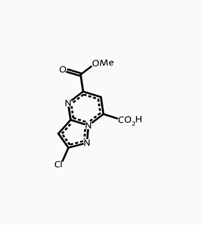 COC(=O)c1cc(C(=O)O)n2nc(Cl)cc2n1